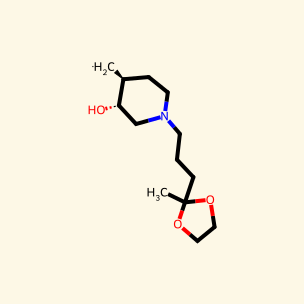 [CH2][C@H]1CCN(CCCC2(C)OCCO2)C[C@@H]1O